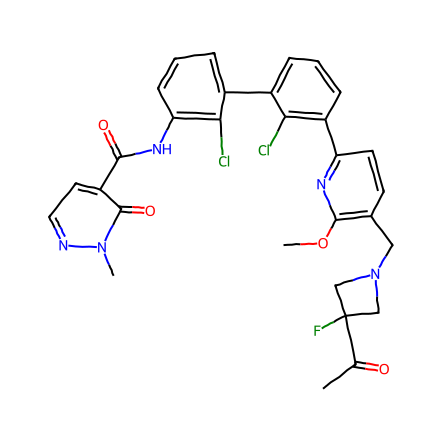 COc1nc(-c2cccc(-c3cccc(NC(=O)c4ccnn(C)c4=O)c3Cl)c2Cl)ccc1CN1CC(F)(C(C)=O)C1